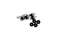 CCCCCCCCn1cc[n+](C)c1.CCCCCCCCn1cc[n+](C)c1.CCCCCCCCn1cc[n+](C)c1.[O-]B([O-])[O-].c1ccc(-c2ccccc2-c2ccccc2-c2ccccc2)cc1